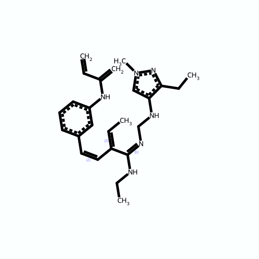 C=CC(=C)Nc1cccc(\C=C/C(=C/C)C(=N\CNc2cn(C)nc2CC)/NCC)c1